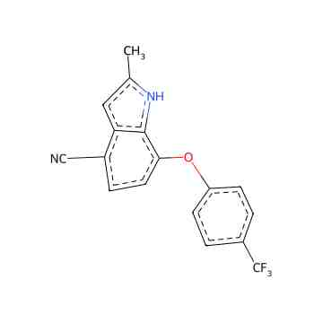 Cc1cc2c(C#N)ccc(Oc3ccc(C(F)(F)F)cc3)c2[nH]1